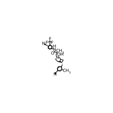 Cc1cc(C#N)ccc1C[C@]12CC3CN(CC(C)(O)C(=O)Nc4ccc(C#N)c(C(F)(F)F)c4)CC1C32